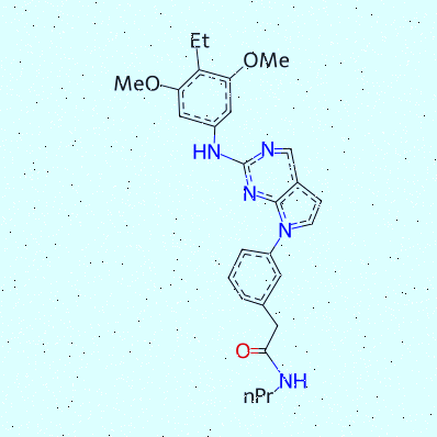 CCCNC(=O)Cc1cccc(-n2ccc3cnc(Nc4cc(OC)c(CC)c(OC)c4)nc32)c1